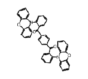 O=C(c1ccc(C(=O)c2ccccc2N2c3ccccc3Oc3ccccc32)cc1)c1ccccc1N1c2ccccc2Oc2ccccc21